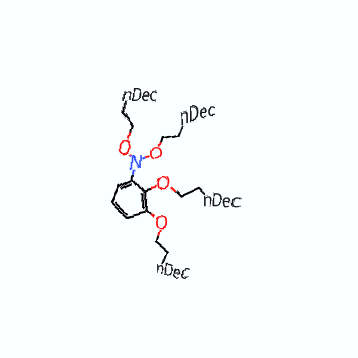 CCCCCCCCCCCCOc1cccc(N(OCCCCCCCCCCCC)OCCCCCCCCCCCC)c1OCCCCCCCCCCCC